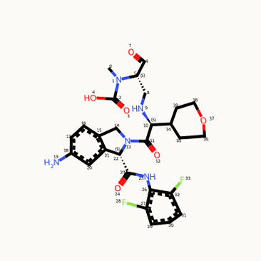 CN(C(=O)O)[C@H](C=O)CN[C@H](C(=O)N1Cc2ccc(N)cc2[C@H]1C(=O)Nc1c(F)cccc1F)C1CCOCC1